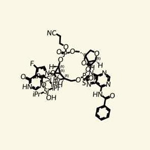 CC(C)[Si](O)(O[Si](O[C@H]1[C@H]2OP(=O)(OCCC#N)OC[C@@]34CO[C@@H]([C@H](n5cnc6c(NC(=O)c7ccccc7)ncnc65)O3)[C@@H]4OP(O)(=S)OC[C@H]1O[C@H]2n1cc(F)c2c(=O)[nH]cnc21)(C(C)C)C(C)C)C(C)C